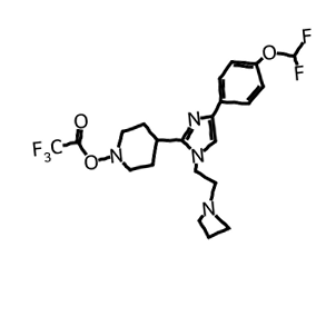 O=C(ON1CCC(c2nc(-c3ccc(OC(F)F)cc3)cn2CCN2CCC2)CC1)C(F)(F)F